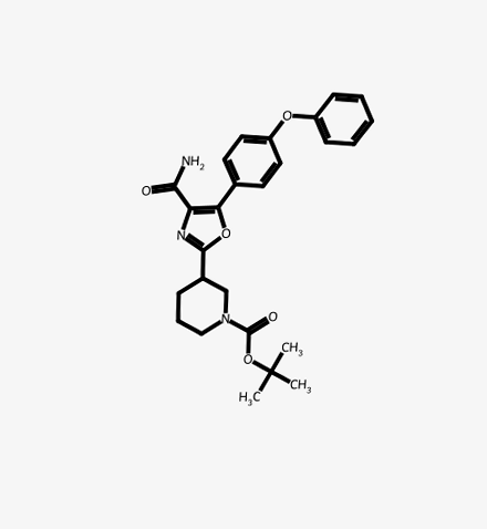 CC(C)(C)OC(=O)N1CCCC(c2nc(C(N)=O)c(-c3ccc(Oc4ccccc4)cc3)o2)C1